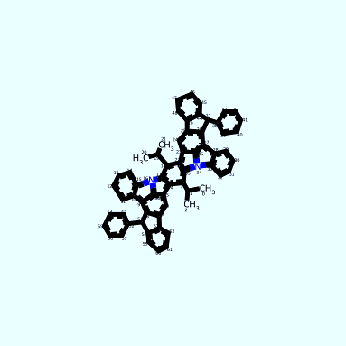 CC(C)c1c2c3cc4c(c5c6ccccc6n(c2c(C(C)C)c2c6cc7c(c8c9ccccc9n(c12)c68)C(c1ccccc1)c1ccccc1-7)c35)C(c1ccccc1)c1ccccc1-4